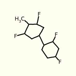 CC1C(F)CC(C2CCC(F)CC2F)CC1F